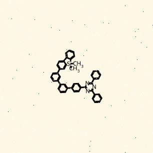 C[Si]1(C)c2ccccc2-c2ccc(-c3cccc(-c4cccc(-c5ccc(-c6nc(-c7ccccc7)nc(-c7ccccc7)n6)cc5)c4)c3)cc21